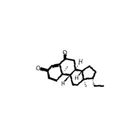 CC[C@H]1CC[C@H]2[C@@H]3CC(=O)C4=CC(=O)CC[C@]4(C)[C@H]3CC[C@]12C